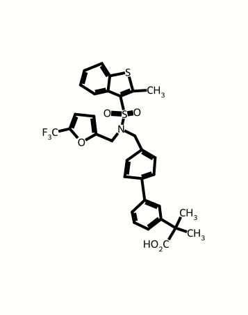 Cc1sc2ccccc2c1S(=O)(=O)N(Cc1ccc(-c2cccc(C(C)(C)C(=O)O)c2)cc1)Cc1ccc(C(F)(F)F)o1